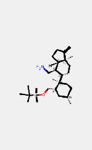 C=C1CC[C@H]2[C@H](CN)[C@@H]([C@@]3(C)CC[C@H](C)C[C@@H]3CO[Si](C)(C)C(C)(C)C)CC[C@]12C